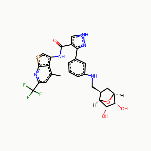 Cc1cc(C(F)(F)F)nc2scc(NC(=O)c3c[nH]nc3-c3cccc(NC[C@H]4C[C@@H]5O[C@H]4[C@@H](O)[C@H]5O)c3)c12